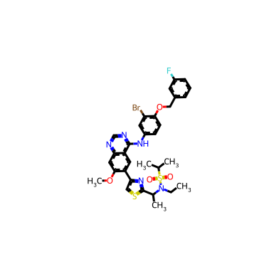 CCN(C(C)c1nc(-c2cc3c(Nc4ccc(OCc5cccc(F)c5)c(Br)c4)ncnc3cc2OC)cs1)S(=O)(=O)C(C)C